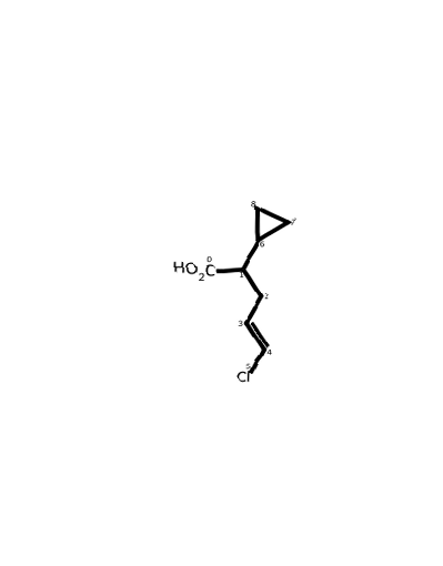 O=C(O)C(CC=CCl)C1CC1